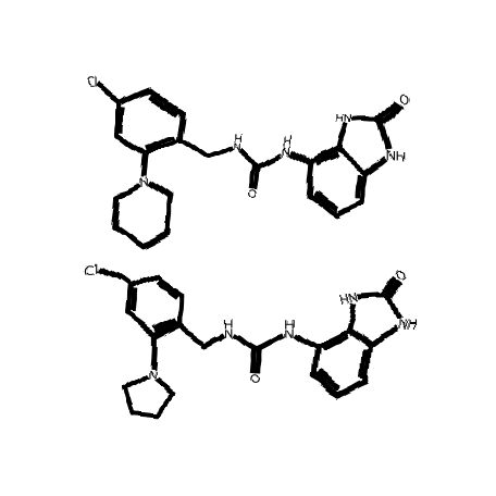 O=C(NCc1ccc(Cl)cc1N1CCCC1)Nc1cccc2[nH]c(=O)[nH]c12.O=C(NCc1ccc(Cl)cc1N1CCCCC1)Nc1cccc2[nH]c(=O)[nH]c12